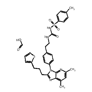 Cc1ccc(S(=O)(=O)NC(=O)NCCc2ccc(-n3c(CCCc4cccs4)nc4c(C)cc(C)nc43)cc2)cc1.O=CO